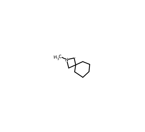 CN1[CH]C2(CCCCC2)C1